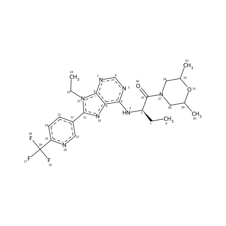 CC[C@@H](Nc1ncnc2c1nc(-c1ccc(C(F)(F)F)nc1)n2CC)C(=O)N1CC(C)OC(C)C1